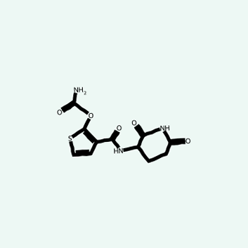 NC(=O)Oc1sccc1C(=O)NC1CCC(=O)NC1=O